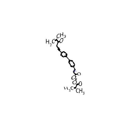 C=C(C)C(=O)CC#Cc1ccc(-c2ccc(/C=C/C(=O)OCOC(=O)C(=C)C)cc2)cc1